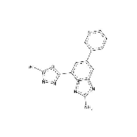 CC(C)c1nnc(-c2cc(-c3cccnc3)cc3nc(N)nn23)o1